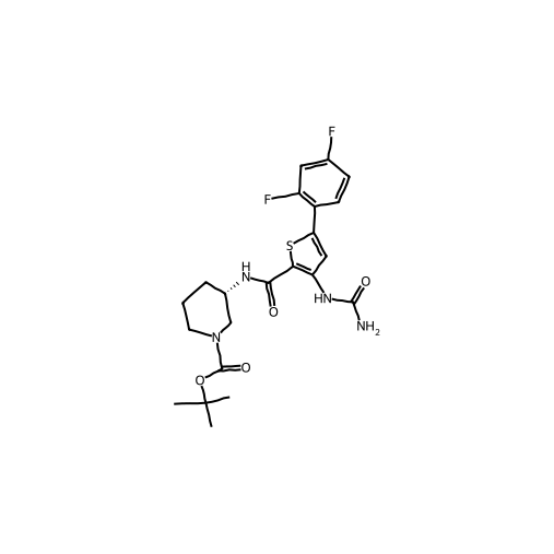 CC(C)(C)OC(=O)N1CCC[C@H](NC(=O)c2sc(-c3ccc(F)cc3F)cc2NC(N)=O)C1